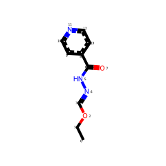 CCOC=NNC(=O)c1ccncc1